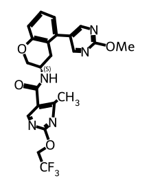 COc1ncc(-c2cccc3c2C[C@H](NC(=O)c2cnc(OCC(F)(F)F)nc2C)CO3)cn1